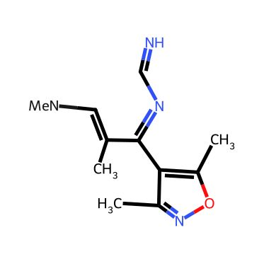 CN/C=C(C)/C(=N\C=N)c1c(C)noc1C